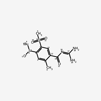 Cc1cc([S+]([O-])C(C)(C)C)c(S(C)(=O)=O)cc1C(=O)N=C(N)N